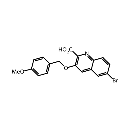 COc1ccc(COc2cc3cc(Br)ccc3nc2C(=O)O)cc1